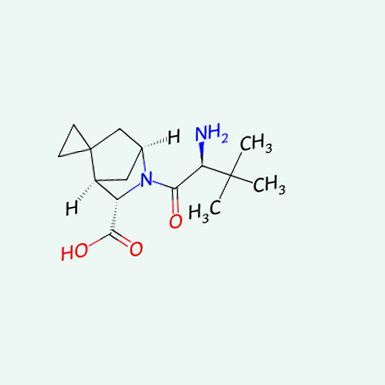 CC(C)(C)[C@H](N)C(=O)N1[C@H]2C[C@@H]([C@H]1C(=O)O)C1(CC1)C2